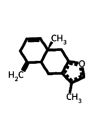 C=C1CC=C[C@]2(C)Cc3occ(C)c3CC12